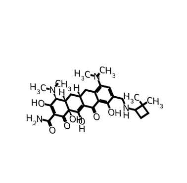 CN(C)c1cc(CNC2CCC2(C)C)c(O)c2c1C[C@H]1C[C@H]3[C@H](N(C)C)C(O)=C(C(N)=O)C(=O)[C@@]3(O)C(O)=C1C2=O